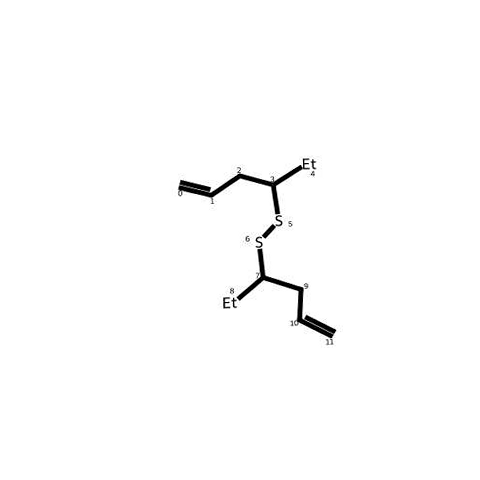 C=CCC(CC)SSC(CC)CC=C